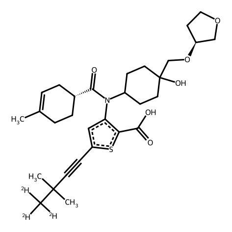 [2H]C([2H])([2H])C(C)(C)C#Cc1cc(N(C(=O)[C@H]2CC=C(C)CC2)C2CCC(O)(CO[C@H]3CCOC3)CC2)c(C(=O)O)s1